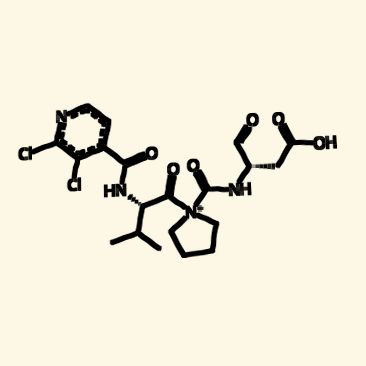 CC(C)[C@H](NC(=O)c1ccnc(Cl)c1Cl)C(=O)[N+]1(C(=O)N[C@H](C=O)CC(=O)O)CCCC1